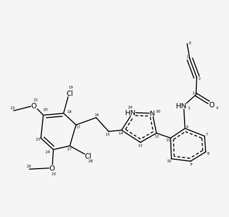 CC#CC(=O)Nc1ccccc1-c1cc(CCC2C(Cl)=C(OC)C=C(OC)C2Cl)[nH]n1